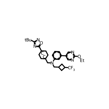 CCOc1ncc(-c2cccc(N(CC3CC(C(F)(F)F)C3)CC34CCC(c5nc(C(C)(C)C)no5)(CC3)CC4)c2)cn1